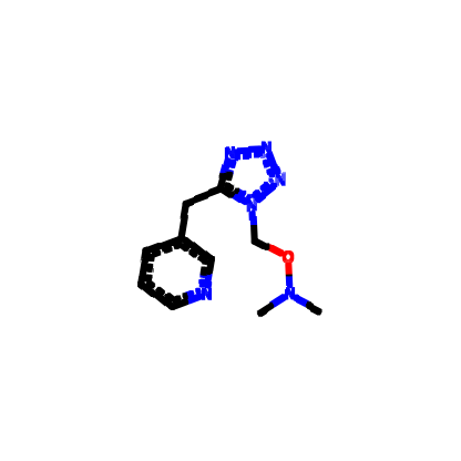 CN(C)OCn1nnnc1Cc1cccnc1